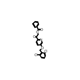 O=C(OCC(=O)c1ccc(OCc2c(Cl)cccc2Cl)cn1)c1ccccc1